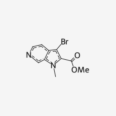 COC(=O)c1c(Br)c2ccncc2n1C